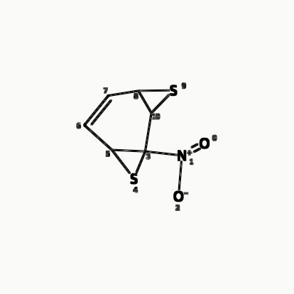 O=[N+]([O-])C12SC1C=CC1SC12